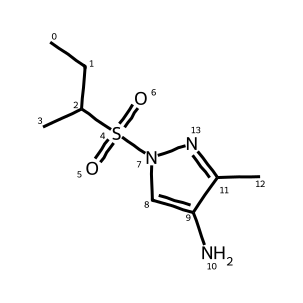 CCC(C)S(=O)(=O)n1cc(N)c(C)n1